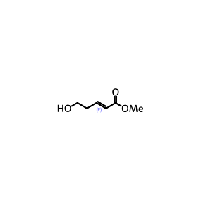 COC(=O)/C=C/CCO